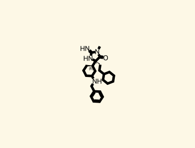 CN1C(=N)N[C@](CCC2CCCCC2)([C@@H]2CCCC(NCc3ccccc3)C2)C1=O